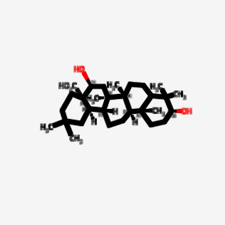 CC1(C)CC[C@@]2(C(=O)O)[C@H](C1)[C@H]1CC[C@@H]3[C@@]4(C)CC[C@H](O)C(C)(C)C4CC[C@@]3(C)[C@]1(C)C[C@@H]2O